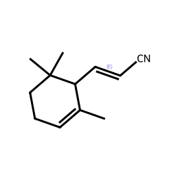 CC1=CCCC(C)(C)C1/C=C/C#N